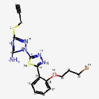 C#CCSc1nc(N)n(-c2nnc(-c3ccccc3OCCCBr)s2)n1